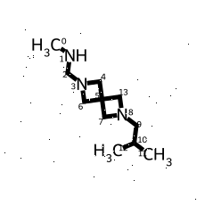 CNCN1CC2(C1)CN(CC(C)C)C2